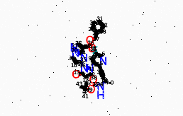 C[C@H](C#Cc1ncc(F)cc1N1CCC(=O)N1c1ccn2ncc(C(=O)OCc3ccccc3)c2n1)NC(=O)OC(C)(C)C